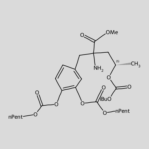 CCCCCOC(=O)Oc1ccc(CC(N)(C[C@H](C)OC(=O)OCC(C)C)C(=O)OC)cc1OC(=O)OCCCCC